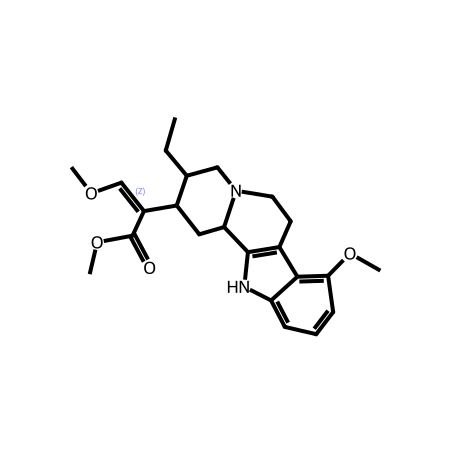 CCC1CN2CCc3c([nH]c4cccc(OC)c34)C2CC1/C(=C/OC)C(=O)OC